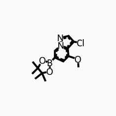 COc1cc(B2OC(C)(C)C(C)(C)O2)cn2ncc(Cl)c12